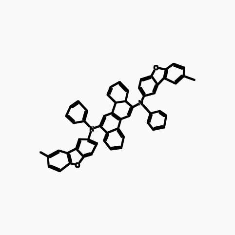 Cc1ccc2oc3ccc(N(C4=Cc5c(cc(N(c6ccccc6)c6ccc7oc8ccc(C)cc8c7c6)c6ccccc56)C5C=CC=CC45)c4ccccc4)cc3c2c1